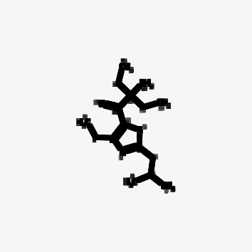 CCc1nc(CC(C)C)sc1C(=O)C(N)(CC)CC